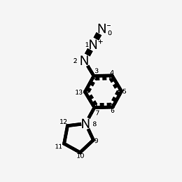 [N-]=[N+]=Nc1cccc(N2CCCC2)c1